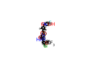 Cc1cc(C(=O)N2CCC(O)(CF)CC2)cc(C)c1C=CS(=O)(=O)N1CCC2(CC1)N=C(c1ccc(Cl)c(OC(C)(C)C(F)(F)F)c1)NC2=O